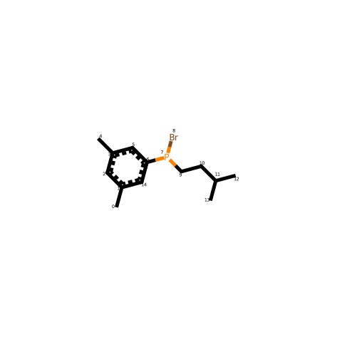 Cc1cc(C)cc(P(Br)CCC(C)C)c1